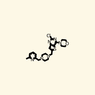 Cc1cccc(CN2CCN(Cc3cc4nc(Cl)nc(N5CCOCC5)c4s3)CC2)n1